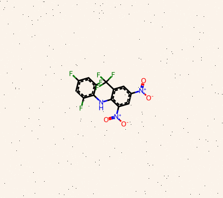 O=[N+]([O-])c1cc([N+](=O)[O-])c(Nc2c(F)cc(F)cc2F)c(C(F)(F)F)c1